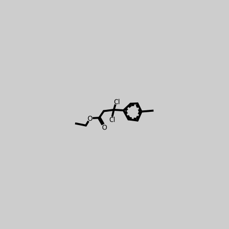 CCOC(=O)CC(Cl)(Cl)c1ccc(C)cc1